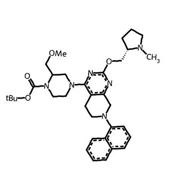 COCC1CN(c2nc(OC[C@@H]3CCCN3C)nc3c2CCN(c2cccc4ccccc24)C3)CCN1C(=O)OC(C)(C)C